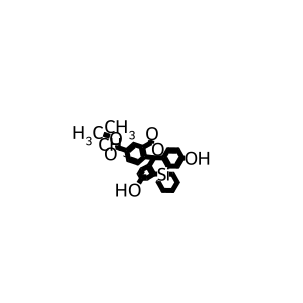 CC(C)(C)OC(=O)c1ccc2c(c1)C(=O)OC21c2ccc(O)cc2[Si]2(CCCCC2)c2cc(O)ccc21